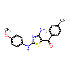 N#Cc1ccc(C(=O)c2sc(Nc3ccc(OC(F)(F)F)cc3)nc2N)cc1